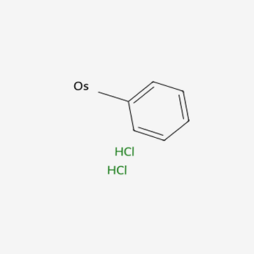 Cc1ccccc1.Cl.Cl.[Os]